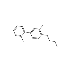 [CH2]CCCc1ccc(-c2ccccc2C)cc1C